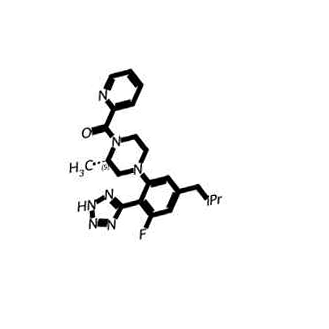 CC(C)Cc1cc(F)c(-c2nn[nH]n2)c(N2CCN(C(=O)c3ccccn3)[C@@H](C)C2)c1